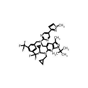 Cc1nn(C(C)(C)C)c2nc(N(CC3=CC3)CC3CC3)c(CN(Cc3cc(C(F)(F)F)cc(C(F)(F)F)c3)c3ncc(-c4ccn(C)n4)cn3)cc12